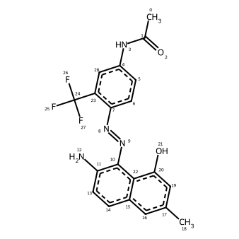 CC(=O)Nc1ccc(/N=N/c2c(N)ccc3cc(C)cc(O)c23)c(C(F)(F)F)c1